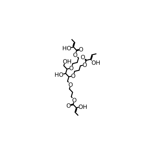 CC=C(O)C(=O)OCCCOCC(OCCCOC(=O)C(O)=CC)C(O)C(CO)OCCCOC(=O)C(O)=CC